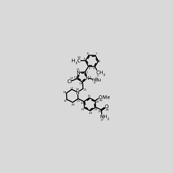 CCCCn1c(-c2c(C)cccc2C)nc(Cl)c1CN1CCCCC1c1ccc(C(N)=O)c(OC)c1